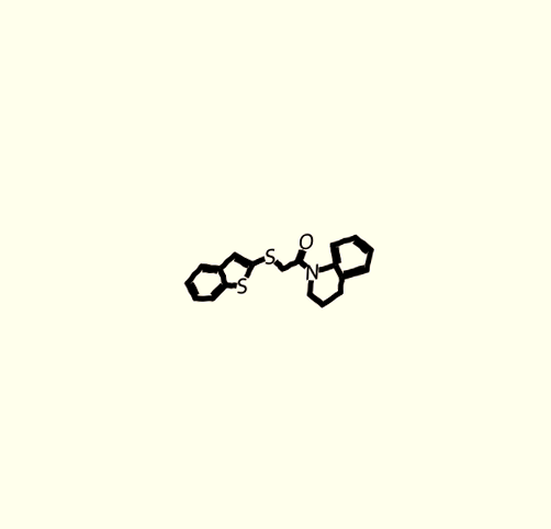 O=C(CSc1cc2ccccc2s1)N1CCCc2ccccc21